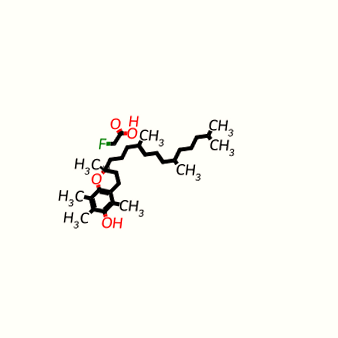 Cc1c(C)c2c(c(C)c1O)CC[C@@](C)(CCCC(C)CCCC(C)CCCC(C)C)O2.O=C(O)CF